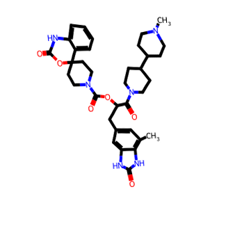 Cc1cc(CC(OC(=O)N2CCC3(CC2)OC(=O)Nc2ccccc23)C(=O)N2CCC(C3CCN(C)CC3)CC2)cc2[nH]c(=O)[nH]c12